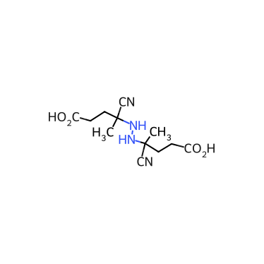 CC(C#N)(CCC(=O)O)NNC(C)(C#N)CCC(=O)O